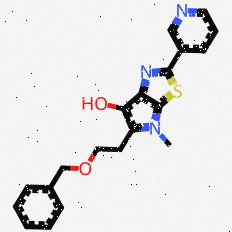 Cn1c(CCOCc2ccccc2)c(O)c2nc(-c3cccnc3)sc21